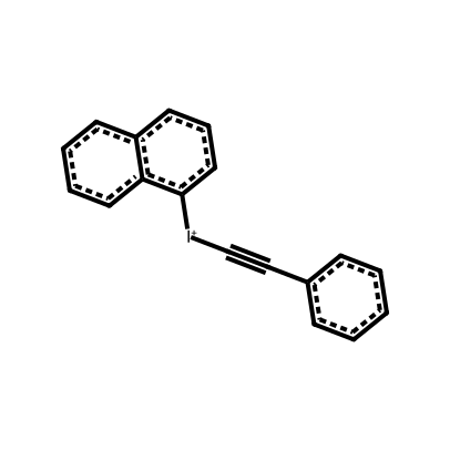 C(#Cc1ccccc1)[I+]c1cccc2ccccc12